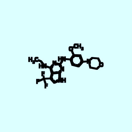 CCNc1nc(Nc2ccc(N3CCOCC3)cc2OC)nc2[nH]cc(C(F)(F)F)c12